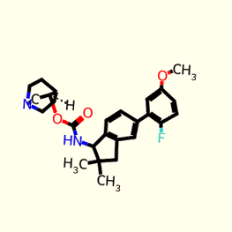 COc1ccc(F)c(-c2ccc3c(c2)CC(C)(C)C3NC(=O)O[C@H]2CN3CCC2CC3)c1